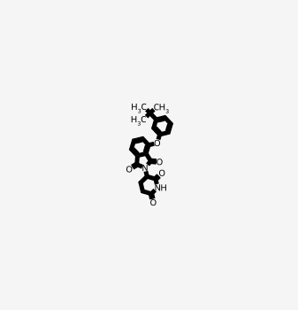 CC(C)(C)c1cccc(Oc2cccc3c2C(=O)N(C2CCC(=O)NC2=O)C3=O)c1